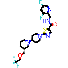 O=C(NCc1ncc(F)cc1F)c1cnc(N2CCC(N3CCC[C@H](COCC(F)(F)F)C3)CC2)s1